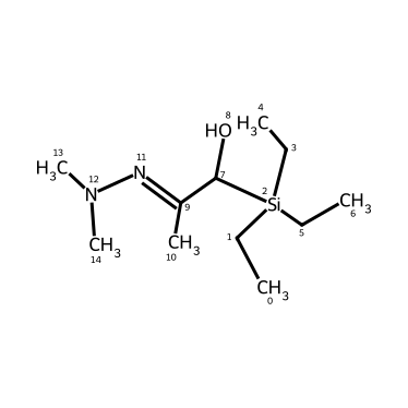 CC[Si](CC)(CC)C(O)C(C)=NN(C)C